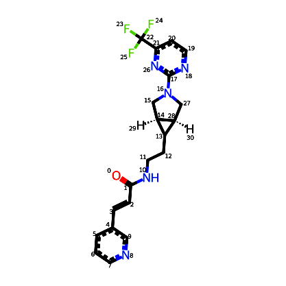 O=C(/C=C/c1cccnc1)NCCC1[C@H]2CN(c3nccc(C(F)(F)F)n3)C[C@@H]12